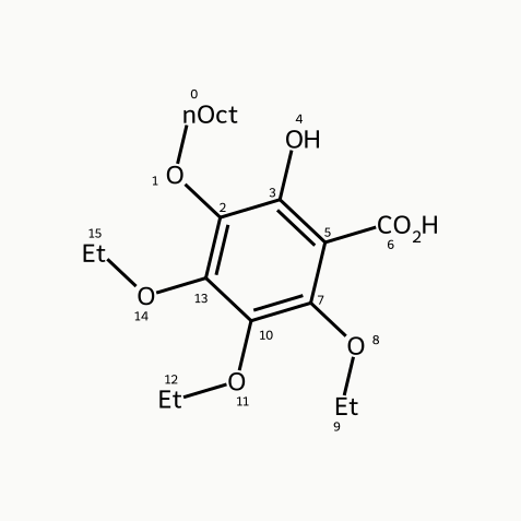 CCCCCCCCOc1c(O)c(C(=O)O)c(OCC)c(OCC)c1OCC